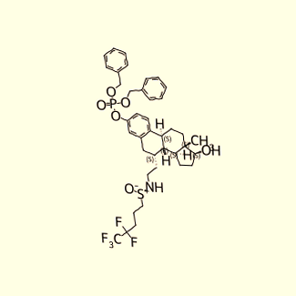 C[C@]12CC[C@@H]3c4ccc(OP(=O)(OCc5ccccc5)OCc5ccccc5)cc4C[C@@H](CCN[S+]([O-])CCCC(F)(F)C(F)(F)F)[C@H]3[C@@H]1CC[C@@H]2O